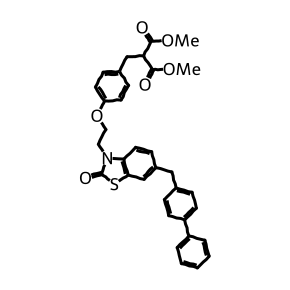 COC(=O)C(Cc1ccc(OCCn2c(=O)sc3cc(Cc4ccc(-c5ccccc5)cc4)ccc32)cc1)C(=O)OC